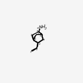 C=CC1CC2CC1CC2N